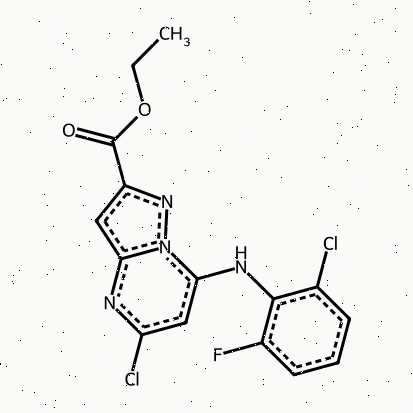 CCOC(=O)c1cc2nc(Cl)cc(Nc3c(F)cccc3Cl)n2n1